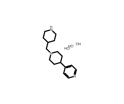 Cl.Cl.Cl.c1cc(C2CCN(CC3CCNCC3)CC2)ccn1